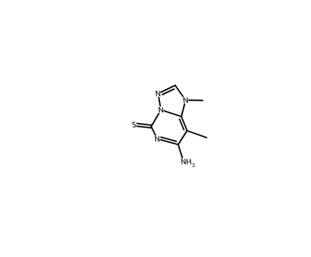 Cc1c(N)nc(=S)n2ncn(C)c12